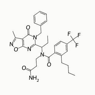 CCCCc1cc(C(F)(F)F)ccc1C(=O)N(CCC(N)=O)C(CC)c1nc2onc(C)c2c(=O)n1Cc1ccccc1